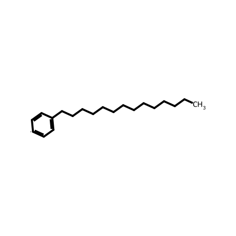 CCCCCCCCCCCCCCc1cc[c]cc1